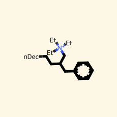 CCCCCCCCCCCCC(Cc1ccccc1)C[N+](CC)(CC)CC